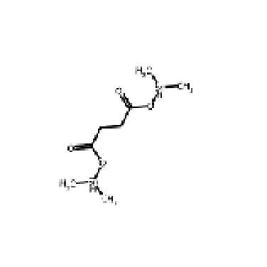 [CH3][SnH]([CH3])[O]C(=O)CCC(=O)[O][SnH]([CH3])[CH3]